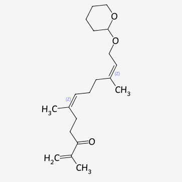 C=C(C)C(=O)CC/C(C)=C\CC/C(C)=C\COC1CCCCO1